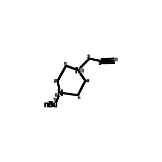 C#CCN1CCN(CCCC)CC1